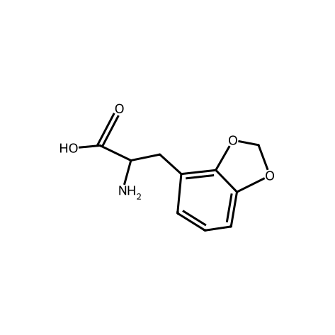 NC(Cc1cccc2c1OCO2)C(=O)O